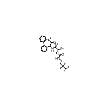 CCC(OC(=O)NCCC(F)(F)C(F)F)C(=O)NC1C(=O)N(C)c2ccccc2-c2ccccc21